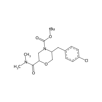 CN(C)C(=O)C1CN(C(=O)OC(C)(C)C)C(Cc2ccc(Cl)cc2)CO1